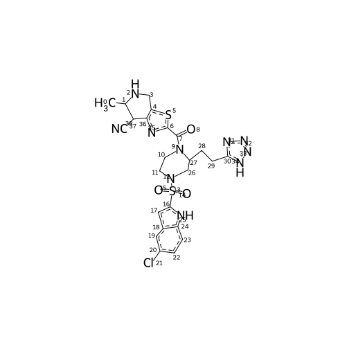 CC1NCc2sc(C(=O)N3CCN(S(=O)(=O)c4cc5cc(Cl)ccc5[nH]4)CC3CCc3nnn[nH]3)nc2C1C#N